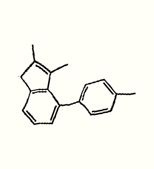 CC1=C(C)c2c(cccc2-c2ccc(C)cc2)[CH]1